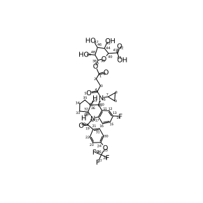 O=C(CCC(=O)N(C1CC1)[C@H]1c2cc(F)ccc2N(C(=O)c2ccc(OC(F)(F)F)cc2)[C@H]2CCC[C@@H]21)OC1OC(C(=O)O)C(O)C(O)C1O